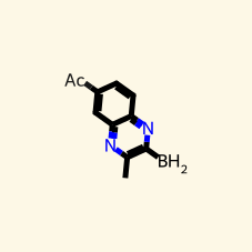 Bc1nc2ccc(C(C)=O)cc2nc1C